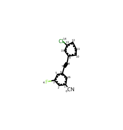 N#Cc1cc(F)cc(C#Cc2cccc(Cl)c2)c1